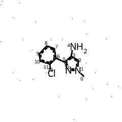 Cn1cc(N)c(-c2ccccc2Cl)n1